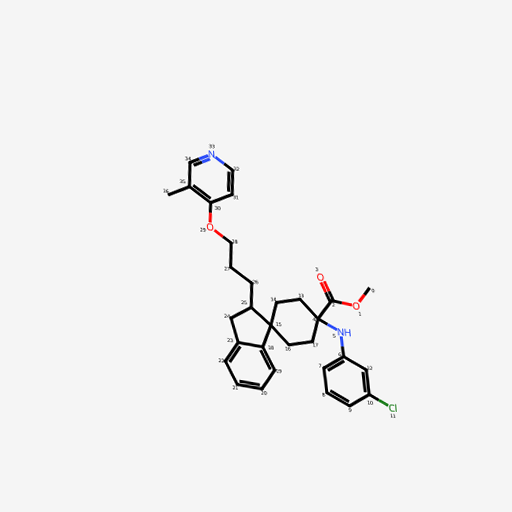 COC(=O)C1(Nc2cccc(Cl)c2)CCC2(CC1)c1ccccc1CC2CCCOc1ccncc1C